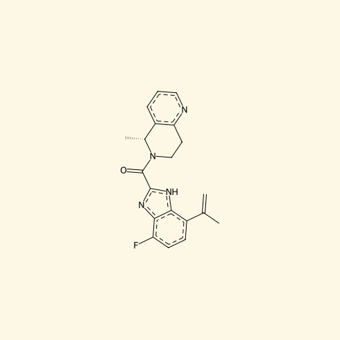 C=C(C)c1ccc(F)c2nc(C(=O)N3CCc4ncccc4[C@H]3C)[nH]c12